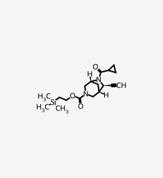 C#C[C@H]1[C@H]2C[C@H](CN(C(=O)OCC[Si](C)(C)C)C2)N1C(=O)C1CC1